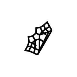 CC12C3CC4C5CC6C7CC8C9C%10C%11C%12CC3C%121C%111C42C2(C)C53C6(C)C78C93C%1021